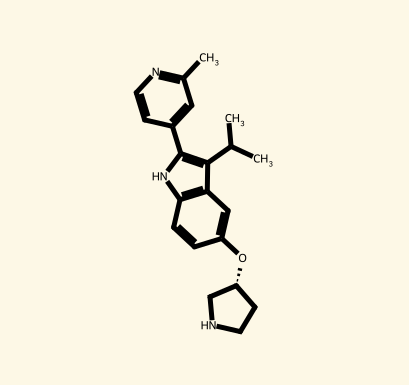 Cc1cc(-c2[nH]c3ccc(O[C@@H]4CCNC4)cc3c2C(C)C)ccn1